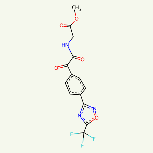 COC(=O)CNC(=O)C(=O)c1ccc(-c2noc(C(F)(F)F)n2)cc1